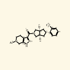 CC(=O)N1CCc2c(C(=O)N3C[C@H]4C[C@H](c5ccccc5C(F)(F)F)C[C@H]4C3)n[nH]c2C1